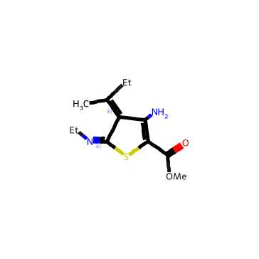 CC/N=C1/SC(C(=O)OC)=C(N)/C1=C(/C)CC